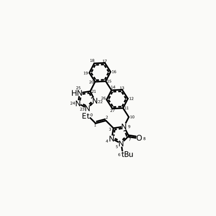 CCC=Cc1nn(C(C)(C)C)c(=O)n1Cc1ccc(-c2ccccc2-c2nnn[nH]2)cc1